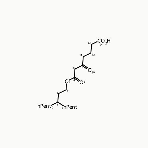 CCCCCC(CCCCC)CCOC(=O)CC(=O)CCCC(=O)O